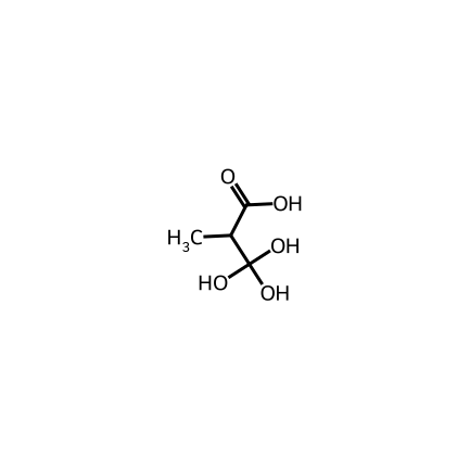 CC(C(=O)O)C(O)(O)O